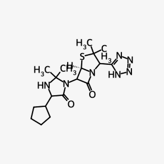 CC1(C)S[C@@H]2C(N3C(=O)C(C4CCCC4)NC3(C)C)C(=O)N2C1c1nnn[nH]1